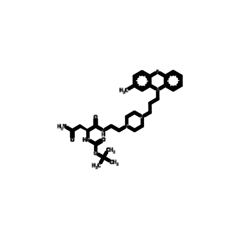 Cc1ccc2c(c1)N(CCCN1CCN(CCNC(=O)[C@H](CC(N)=O)NC(=O)OC(C)(C)C)CC1)c1ccccc1S2